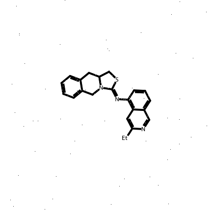 CCc1cc2c(N=C3SCC4Cc5ccccc5CN34)cccc2cn1